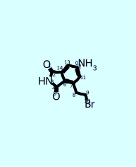 N.O=C1NC(=O)c2c(CCBr)cccc21